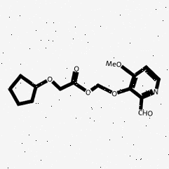 COc1ccnc(C=O)c1OCOC(=O)COC1CCCC1